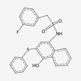 O=S(=O)(Cc1cccc(F)c1)Nc1cc(Sc2ccccc2)c(O)c2ccccc12